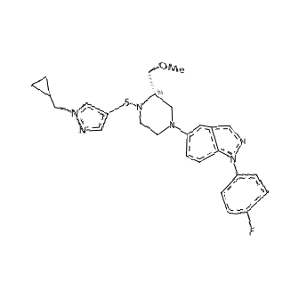 COC[C@@H]1CN(c2ccc3c(cnn3-c3ccc(F)cc3)c2)CCN1Sc1cnn(CC2CC2)c1